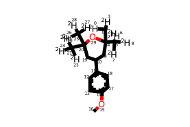 [2H]C([2H])([2H])C1(C([2H])([2H])[2H])CC(c2ccc(OC)cc2)CC(C([2H])([2H])[2H])(C([2H])([2H])[2H])O1